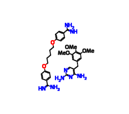 COc1cc(Cc2cnc(N)nc2N)cc(OC)c1OC.N=C(N)c1ccc(OCCCCCOc2ccc(C(=N)N)cc2)cc1